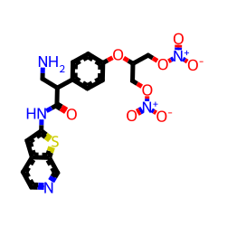 NCC(C(=O)Nc1cc2ccncc2s1)c1ccc(OC(CO[N+](=O)[O-])CO[N+](=O)[O-])cc1